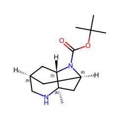 CC(C)(C)OC(=O)N1[C@@H]2C[C@H]3CN[C@](C)(C2)[C@@H]1C3